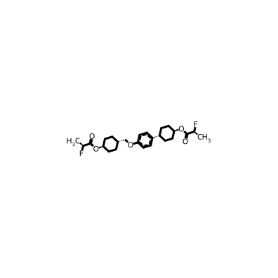 C[C@H](F)C(=O)O[C@H]1CC[C@H](COc2ccc([C@H]3CC[C@H](OC(=O)[C@H](C)F)CC3)cc2)CC1